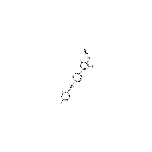 Cc1ccc(C#Cc2ccc(-c3cc(F)c(N=C=S)c(F)c3)cc2)cc1